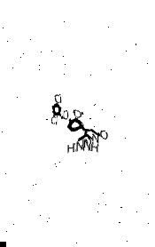 COc1cc(C2CC(=O)Nc3n[nH]cc32)ccc1OCc1cc(Cl)ccc1Cl